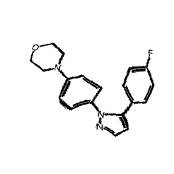 Fc1ccc(-c2ccnn2-c2ccc(N3CCOCC3)cc2)cc1